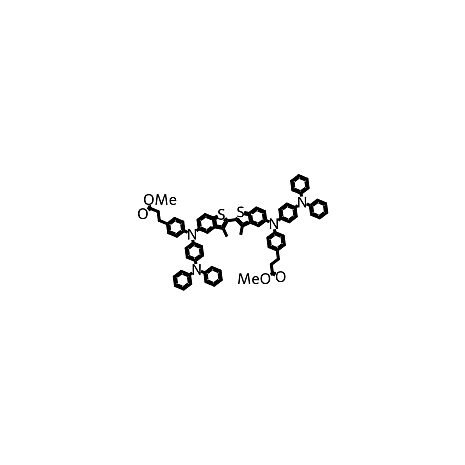 COC(=O)CCc1ccc(N(c2ccc(N(c3ccccc3)c3ccccc3)cc2)c2ccc3sc(-c4sc5ccc(N(c6ccc(CCC(=O)OC)cc6)c6ccc(N(c7ccccc7)c7ccccc7)cc6)cc5c4C)c(C)c3c2)cc1